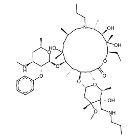 CCCNC[C@]1(O)[C@H](C)O[C@@H](O[C@H]2[C@H](C)[C@@H](O[C@@H]3O[C@H](C)C[C@H](NC)[C@H]3Oc3ccccc3)[C@](C)(O)C[C@@H](C)CN(CCC)[C@H](C)[C@@H](O)[C@](C)(O)[C@@H](CC)OC(=O)[C@@H]2C)C[C@@]1(C)OC